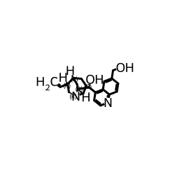 C=C[C@H]1C[N@]2CCC[C@@H]1C[C@@H]2[C@@H](O)c1ccnc2ccc(CO)cc12